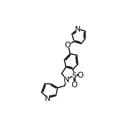 O=S1(=O)c2ccc(Oc3cccnc3)cc2CN1Cc1cccnc1